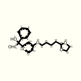 O=CC(O)(c1ccccc1)c1cccc(OCCCCC2OCCO2)c1